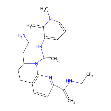 C=C(NCC(F)(F)F)c1ccc2c(n1)N(C(=C)NC1=CC=CN(C)C1=C)C(CCN)CC2